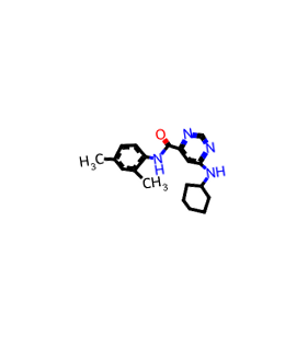 Cc1ccc(NC(=O)c2cc(NC3CCCCC3)ncn2)c(C)c1